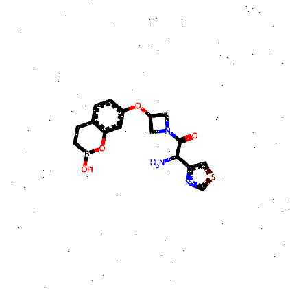 NC(C(=O)N1CC(Oc2ccc3c(c2)OB(O)CC3)C1)c1cscn1